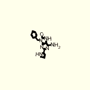 Nc1nc(-c2ccc[nH]2)nc2c1[nH]c(=O)n2Cc1ccccc1